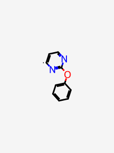 [c]1ccnc(Oc2ccccc2)n1